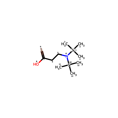 C[Si](C)(C)N(CCC(O)=S)[Si](C)(C)C